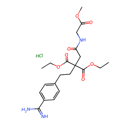 CCOC(=O)C(CCc1ccc(C(=N)N)cc1)(CC(=O)NCC(=O)OC)C(=O)OCC.Cl